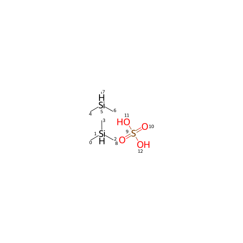 C[SiH](C)C.C[SiH](C)C.O=S(=O)(O)O